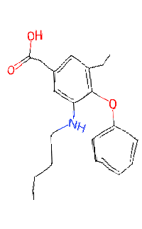 CCCCNc1cc(C(=O)O)cc(C)c1Oc1ccccc1